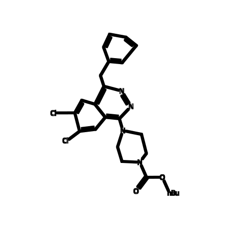 CCCCOC(=O)N1CCN(c2nnc(Cc3ccccc3)c3cc(Cl)c(Cl)cc23)CC1